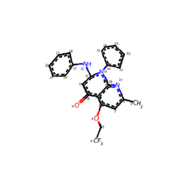 Cc1cc(OCC(F)(F)F)c2c(=O)cc(Nc3ccccc3)n(-c3ccccc3)c2n1